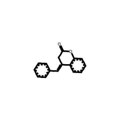 O=C1CC(=Cc2ccccc2)c2ccccc2O1